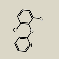 Clc1cccc(Cl)c1Oc1ccccn1